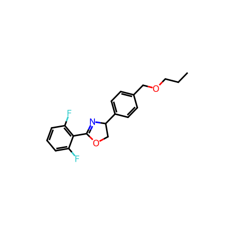 CCCOCc1ccc(C2COC(c3c(F)cccc3F)=N2)cc1